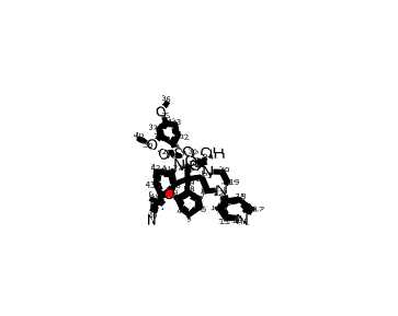 CCOc1ccccc1C1(C2CN(c3ccncc3)CCN2C(=O)O)C(=O)N(S(=O)(=O)c2ccc(OC)cc2OC)c2ccc(C#N)cc21